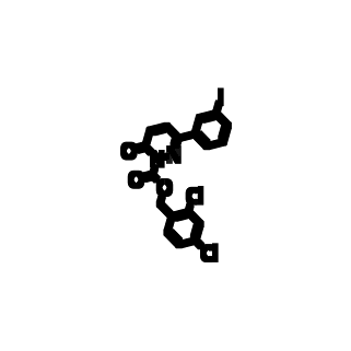 O=C(OCc1ccc(Cl)cc1Cl)n1nc(-c2cccc(I)c2)ccc1=O